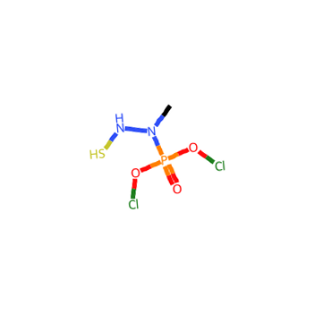 CN(NS)P(=O)(OCl)OCl